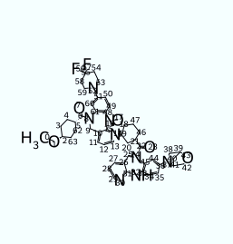 CO[C@H]1CC[C@H](C(=O)N2Cc3cccnc3N(O[C@H]3CC[C@H](C(=O)N4Cc5cccnc5Nc5ccc(N6CC7CC6CO7)cc54)CC3)c3ccc(N4CCC(F)(F)CC4)cc32)CC1